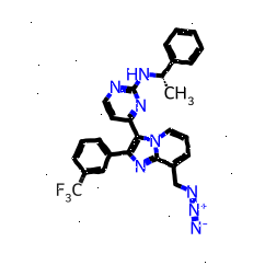 C[C@H](Nc1nccc(-c2c(-c3cccc(C(F)(F)F)c3)nc3c(CN=[N+]=[N-])cccn23)n1)c1ccccc1